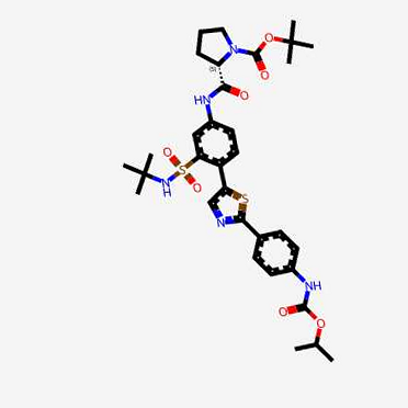 CC(C)OC(=O)Nc1ccc(-c2ncc(-c3ccc(NC(=O)[C@@H]4CCCN4C(=O)OC(C)(C)C)cc3S(=O)(=O)NC(C)(C)C)s2)cc1